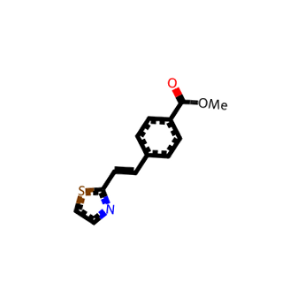 COC(=O)c1ccc(C=Cc2nccs2)cc1